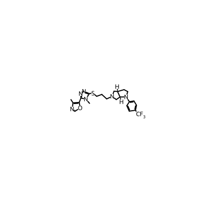 Cc1ncoc1-c1nnc(SCCCN2C[C@@H]3CCN(c4ccc(C(F)(F)F)cc4)[C@@H]3C2)n1C